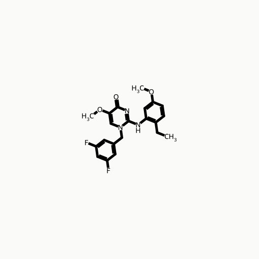 CCc1ccc(OC)cc1Nc1nc(=O)c(OC)cn1Cc1cc(F)cc(F)c1